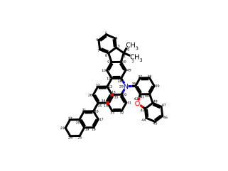 CC1(C)c2ccccc2-c2cc(-c3ccc(-c4ccc5c(c4)CCCC5)cc3)c(N(c3ccccc3)c3cccc4c3oc3ccccc34)cc21